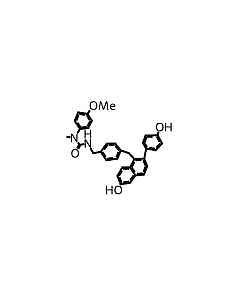 COc1ccc(N(C)C(=O)NCc2ccc(Cc3c(-c4ccc(O)cc4)ccc4cc(O)ccc34)cc2)cc1